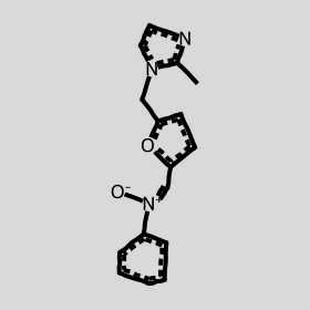 Cc1nccn1Cc1ccc(/C=[N+](\[O-])c2ccccc2)o1